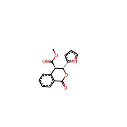 COC(=O)[C@@H]1c2ccccc2C(=O)O[C@H]1c1ccco1